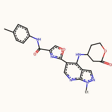 CCn1ncc2c(NC3CCOC(=O)C3)c(-c3nc(C(=O)Nc4ccc(C)cc4)co3)cnc21